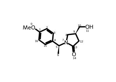 COc1ccc([C@H](C)N2C[C@@H](CO)CC2=O)cc1